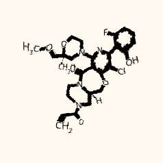 C=CC(=O)N1CCN2C(=O)c3c(N4CCO[C@](C)(COC)C4)nc(-c4c(O)cccc4F)c(Cl)c3OC[C@H]2C1